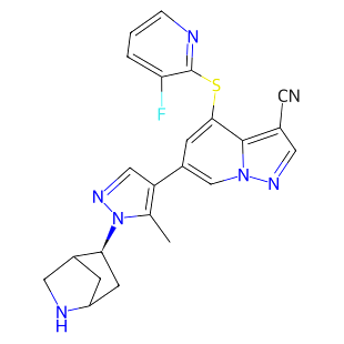 Cc1c(-c2cc(Sc3ncccc3F)c3c(C#N)cnn3c2)cnn1[C@H]1CC2CC1CN2